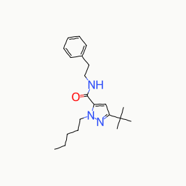 CCCCCn1nc(C(C)(C)C)cc1C(=O)NCCc1ccccc1